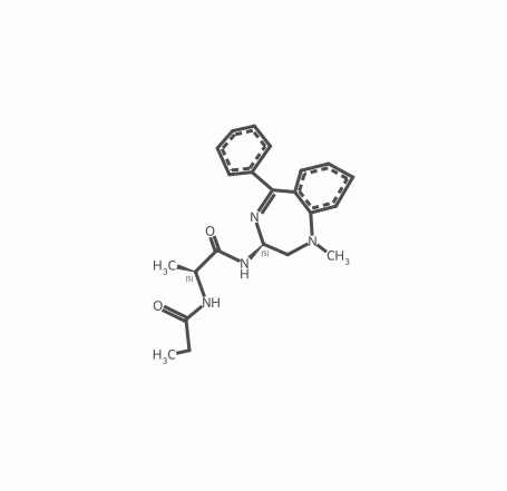 CCC(=O)N[C@@H](C)C(=O)N[C@@H]1CN(C)c2ccccc2C(c2ccccc2)=N1